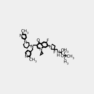 Cc1ccc(N2CCC[C@H](N(Cc3ccnc(C)c3)Cc3cn(C4CC4)c4cc(N5CCC(F)(CNC(=O)OC(C)(C)C)C5)c(F)cc4c3=O)C2)cn1